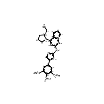 COc1cc(-c2cnc(Nc3nc(N4CCC[C@H]4CO)c4cccn4n3)s2)cc(OC)c1OC